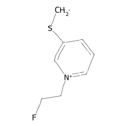 [CH2]Sc1ccc[n+](CCF)c1